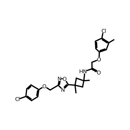 Cc1cc(OCC(=O)NC2(C)CC(C)(c3nc(COc4ccc(Cl)cc4)no3)C2)ccc1Cl